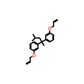 C=CCOc1cccc(C(C)(CC(C)C)c2cccc(OCC=C)c2)c1